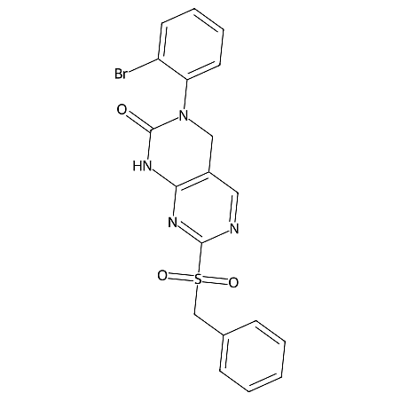 O=C1Nc2nc(S(=O)(=O)Cc3ccccc3)ncc2CN1c1ccccc1Br